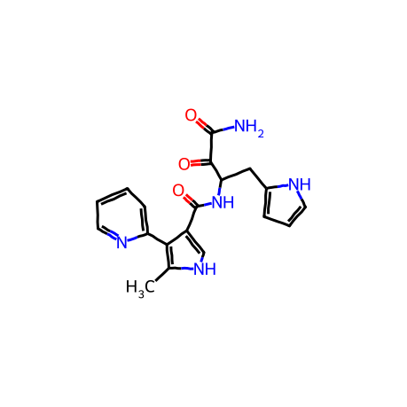 Cc1[nH]cc(C(=O)NC(Cc2ccc[nH]2)C(=O)C(N)=O)c1-c1ccccn1